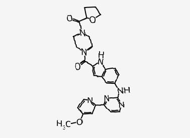 COc1ccnc(-c2ccnc(Nc3ccc4[nH]c(C(=O)N5CCN(C(=O)C6CCCO6)CC5)cc4c3)n2)c1